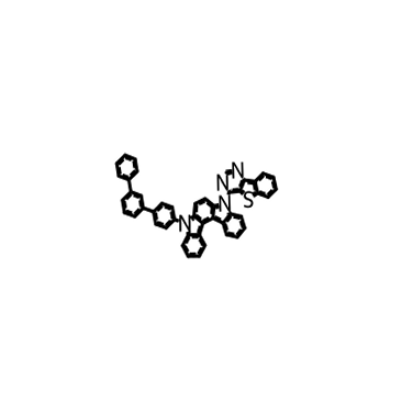 c1ccc(-c2cccc(-c3ccc(-n4c5ccccc5c5c6c7ccccc7n(-c7ncnc8c7sc7ccccc78)c6ccc54)cc3)c2)cc1